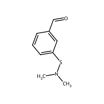 CN(C)Sc1cccc(C=O)c1